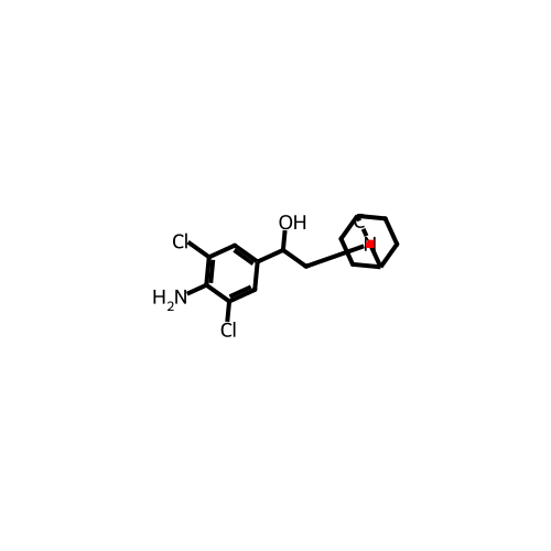 Nc1c(Cl)cc(C(O)CN2CC3CCC(CC3)C2)cc1Cl